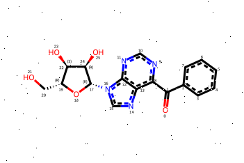 O=C(c1ccccc1)c1ncnc2c1ncn2[C@@H]1O[C@H](CO)[C@@H](O)[C@H]1O